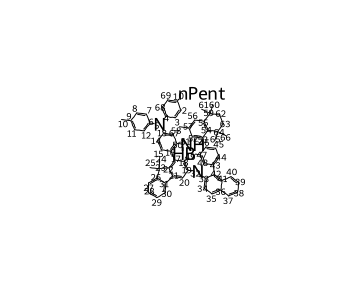 CCCCCc1ccc(N(c2ccc(C)cc2)c2ccc(-c3c4c(cc5c3C(C)(C)c3ccccc3-5)-n3c5ccc6ccccc6c5c5cccc(c53)B4)c(Nc3cc4c(cc3C)C(C)(C)CCC4(C)C)c2)cc1